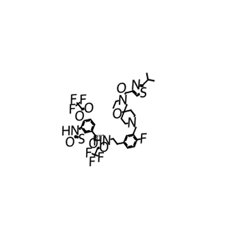 CC(C)c1nc(C(=O)N2CCOC3(CCN(Cc4cc(CCNC[C@H](OC(=O)C(F)(F)F)c5ccc(OC(=O)C(F)(F)F)c6[nH]c(=O)sc56)ccc4F)CC3)C2)cs1